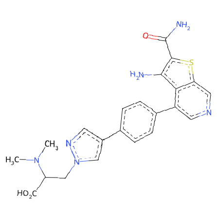 CN(C)C(Cn1cc(-c2ccc(-c3cncc4sc(C(N)=O)c(N)c34)cc2)cn1)C(=O)O